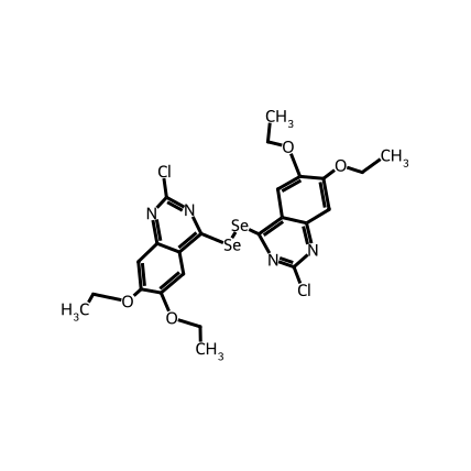 CCOc1cc2nc(Cl)nc([Se][Se]c3nc(Cl)nc4cc(OCC)c(OCC)cc34)c2cc1OCC